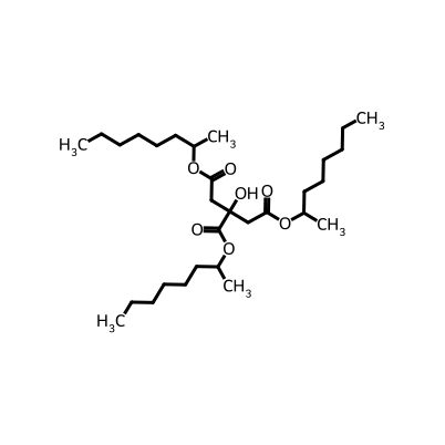 CCCCCCC(C)OC(=O)CC(O)(CC(=O)OC(C)CCCCCC)C(=O)OC(C)CCCCCC